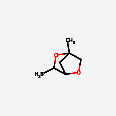 BC1OC2(C)COC1C2